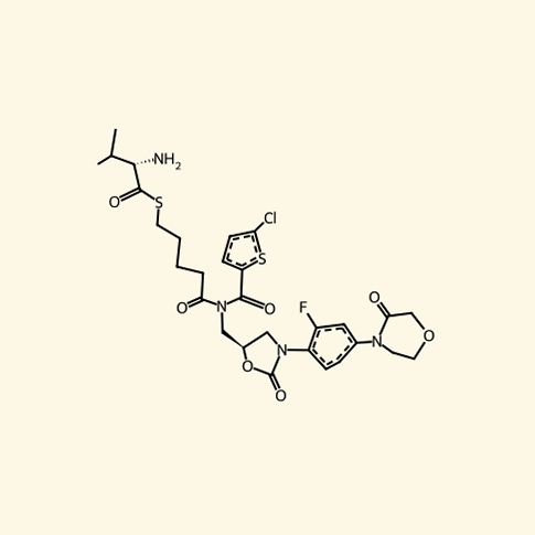 CC(C)[C@H](N)C(=O)SCCCCC(=O)N(C[C@H]1CN(c2ccc(N3CCOCC3=O)cc2F)C(=O)O1)C(=O)c1ccc(Cl)s1